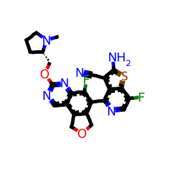 CN1CCC[C@H]1COc1ncc2c3c(c(-c4ncc(F)c5sc(N)c(C#N)c45)c(F)c2n1)COC3